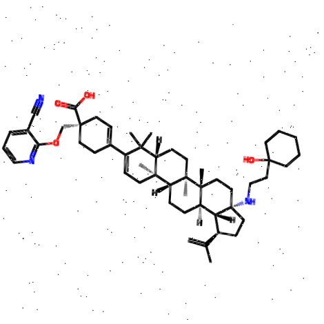 C=C(C)[C@@H]1CC[C@]2(NCCC3(O)CCCCC3)CC[C@]3(C)[C@H](CC[C@@H]4[C@@]5(C)CC=C(C6=CC[C@](COc7ncccc7C#N)(C(=O)O)CC6)C(C)(C)[C@@H]5CC[C@]43C)[C@@H]12